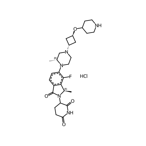 C[C@@H]1CN([C@H]2C[C@H](OC3CCNCC3)C2)CCN1c1ccc2c(c1F)[C@@H](C)N(C1CCC(=O)NC1=O)C2=O.Cl